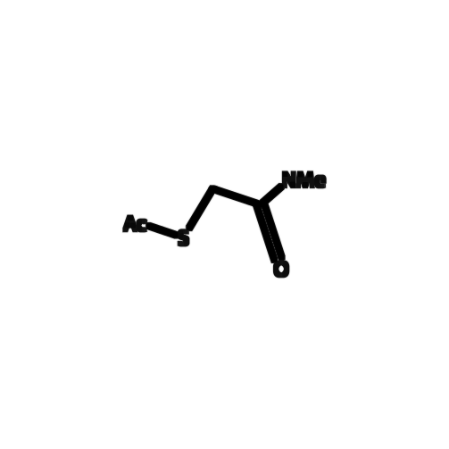 CNC(=O)CSC(C)=O